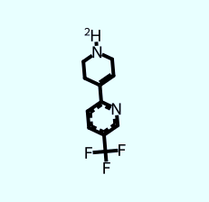 [2H]N1CC=C(c2ccc(C(F)(F)F)cn2)CC1